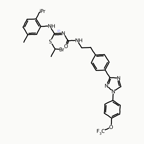 Cc1ccc(C(C)C)c(N/C(=N/C(=O)NCCc2ccc(-c3ncn(-c4ccc(OC(F)(F)F)cc4)n3)cc2)SC(C)Br)c1